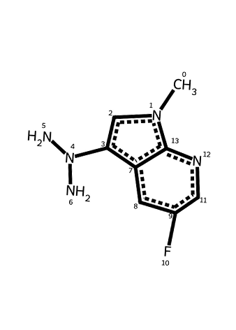 Cn1cc(N(N)N)c2cc(F)cnc21